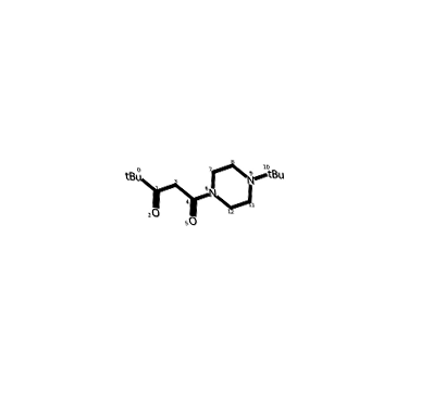 CC(C)(C)C(=O)CC(=O)N1CCN(C(C)(C)C)CC1